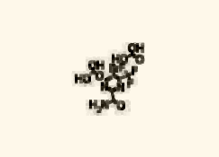 NC(=O)c1ncc(Br)c(C(F)(F)F)n1.O=C(O)O.O=C(O)O